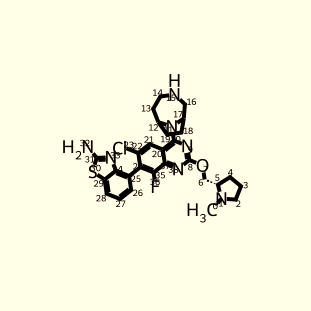 CN1CCC[C@H]1COc1nc(N2C3CCNCC2CC3)c2cc(Cl)c(-c3cccc4sc(N)nc34)c(F)c2n1